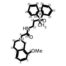 COc1cccc2c1CN(CC(=O)NCCS(C)(=O)(c1ccccc1)c1ccccc1)CC2